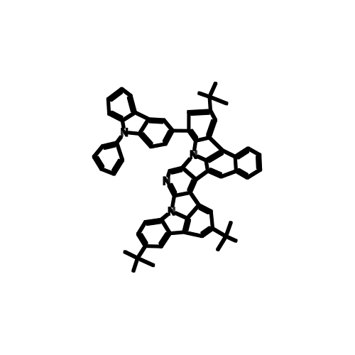 CC(C)(C)c1ccc2c(c1)c1cc(C(C)(C)C)cc3c4c5c6cc7ccccc7c7c8cc(C(C)(C)C)cc(-c9ccc%10c(c9)c9ccccc9n%10-c9ccccc9)c8n(c5cnc4n2c13)c67